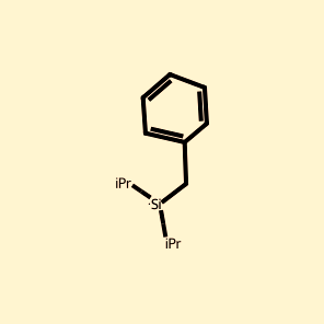 CC(C)[Si](Cc1ccccc1)C(C)C